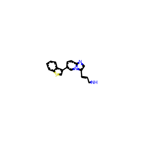 N=C/C=C/c1cnc2ccc(-c3csc4ccccc34)cn12